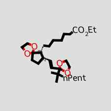 CCCCCC(C)(C)C1(C=C[C@H]2CCC3(OCCO3)[C@@H]2CCCCCCC(=O)OCC)OCCO1